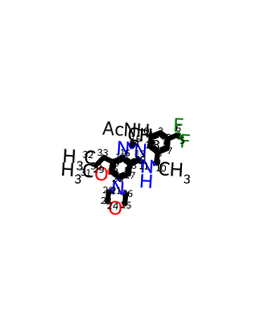 CC(=O)Nc1cc(C(F)F)cc([C@@H](C)Nc2nc(C)nc3c4c(c(N5CCOCC5)cc23)OC(C)(C)C4)c1